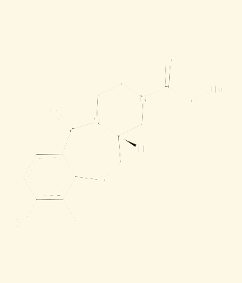 Cc1c(Br)ccc2c1OC[C@H]1CN(C(=O)OC(C)(C)C)CCN1C2=O